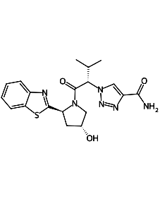 CC(C)[C@@H](C(=O)N1C[C@H](O)C[C@H]1c1nc2ccccc2s1)n1cc(C(N)=O)nn1